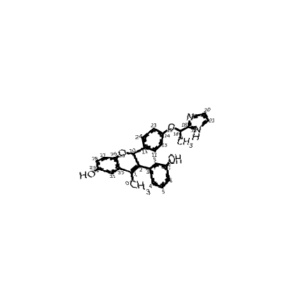 CC1=C(c2cccc(O)c2)C(c2ccc(OC(C)c3ncc[nH]3)cc2)Oc2ccc(O)cc21